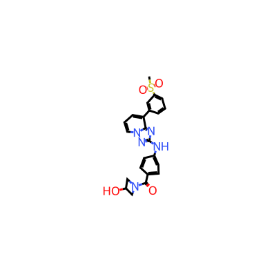 CS(=O)(=O)c1cccc(-c2cccn3nc(Nc4ccc(C(=O)N5CC(O)C5)cc4)nc23)c1